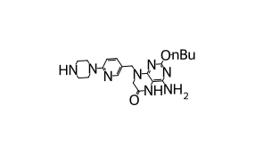 CCCCOc1nc(N)c2c(n1)N(Cc1ccc(N3CCNCC3)nc1)CC(=O)N2